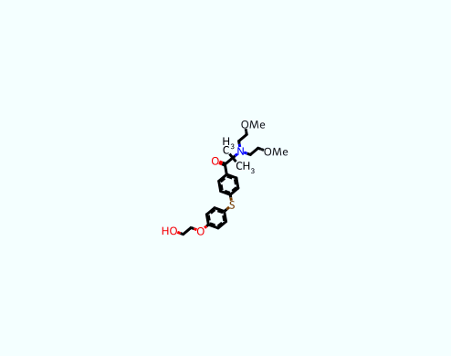 COCCN(CCOC)C(C)(C)C(=O)c1ccc(Sc2ccc(OCCO)cc2)cc1